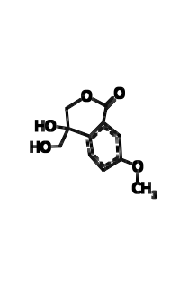 COc1ccc2c(c1)C(=O)OCC2(O)CO